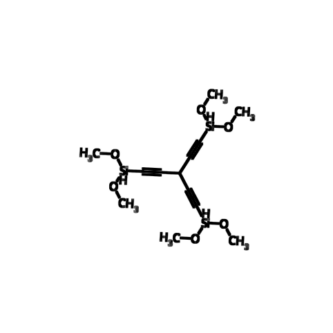 CO[SiH](C#CC(C#C[SiH](OC)OC)C#C[SiH](OC)OC)OC